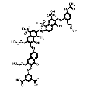 CC(=O)Nc1ccc(SOOO)c(N=Nc2c(S(=O)(=O)O)cc3c(S(=O)(=O)O)c(N=Nc4cc(S(=O)(=O)O)c5cc(SOOO)c(N=Nc6ccc7c(O)c(N=Nc8cc(C(=O)O)cc(C(=O)O)c8)c(SOOO)cc7c6)c(O)c5c4N)ccc3c2O)c1